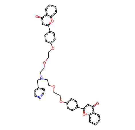 O=c1cc(-c2ccc(OCCOCCN(CCOCCOc3ccc(-c4cc(=O)c5ccccc5o4)cc3)Cc3ccncc3)cc2)oc2ccccc12